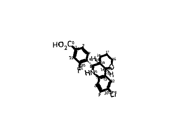 O=C(O)c1ccc([C@H]2Nc3ccc(Cl)cc3[C@@H]3OCCC[C@H]23)c(F)c1